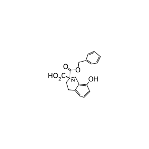 O=C(O)[C@]1(C(=O)OCc2ccccc2)CCc2cccc(O)c2C1